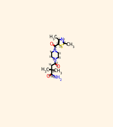 Cc1nc(C)c(C(=O)N2CCN(C(=O)[CH]C(C)(C)C(N)=O)CC2)s1